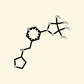 CC1(C)OB(c2cncc(CNC3CCOC3)c2)OC1(C)C